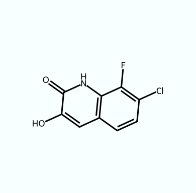 O=c1[nH]c2c(F)c(Cl)ccc2cc1O